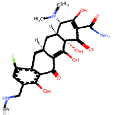 CCCNCc1cc(F)c2c(c1O)C(=O)C1=C(O)[C@]3(O)C(=O)C(C(N)=O)=C(O)[C@@H](N(C)C)[C@@H]3C[C@@H]1C2